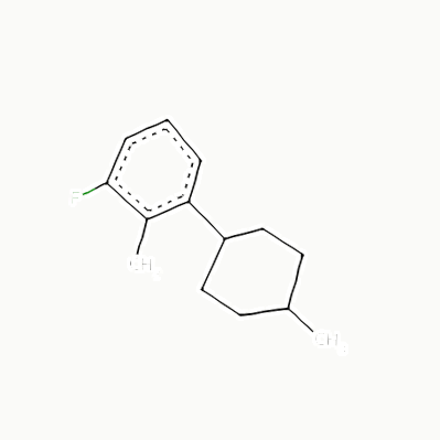 Cc1c(F)cccc1C1CCC(C)CC1